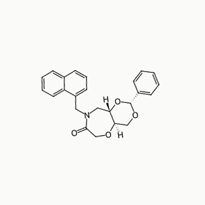 O=C1CO[C@@H]2CO[C@@H](c3ccccc3)O[C@H]2CN1Cc1cccc2ccccc12